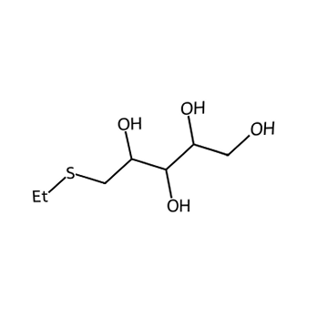 CCSCC(O)C(O)C(O)CO